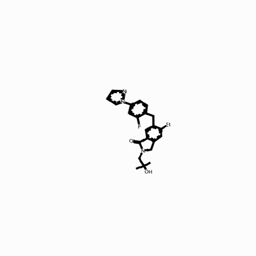 CCc1cc2c(cc1Cc1ccc(-n3cccn3)cc1F)C(=O)N(CC(C)(C)O)C2